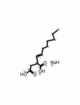 CCCCCC/C=C/C(CC(=O)O)C(=O)O.[NaH]